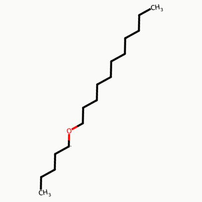 CCCC[CH]OCCCCCCCCCCC